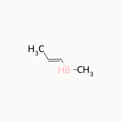 CBC=CC